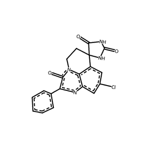 O=C1NC(=O)C2(CCn3c(=O)c(-c4ccccc4)nc4cc(Cl)cc2c43)N1